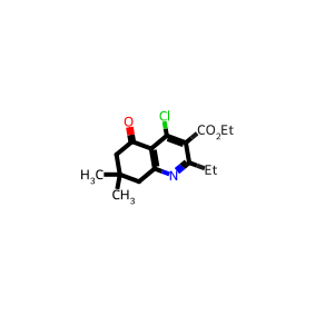 CCOC(=O)c1c(CC)nc2c(c1Cl)C(=O)CC(C)(C)C2